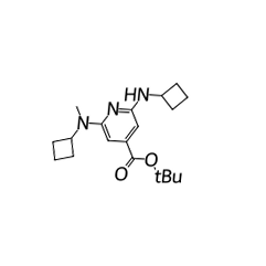 CN(c1cc(C(=O)OC(C)(C)C)cc(NC2CCC2)n1)C1CCC1